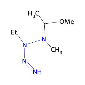 CCN(N=N)N(C)C(C)OC